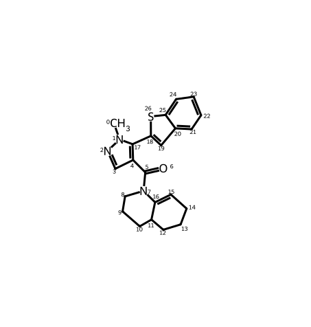 Cn1ncc(C(=O)N2CCCC3CCCC=C32)c1-c1cc2ccccc2s1